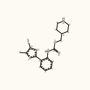 Cc1sc(-c2ccccc2NC(=O)OCC2CCNCC2)nc1F